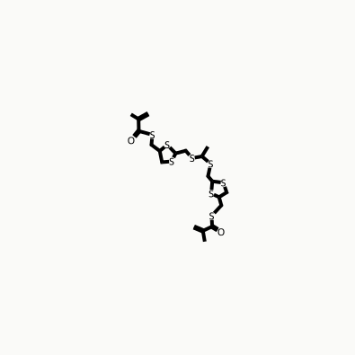 C=C(C)C(=O)SCC1CSC(CSC(C)SCC2SCC(CSC(=O)C(=C)C)S2)S1